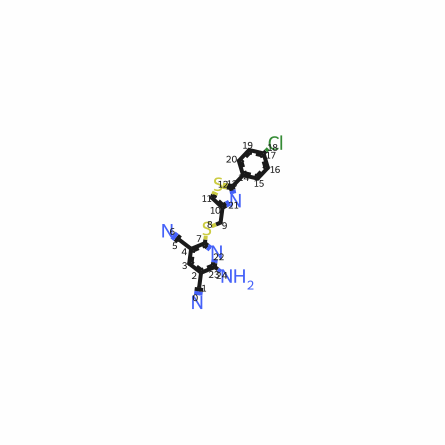 N#Cc1cc(C#N)c(SCc2csc(-c3ccc(Cl)cc3)n2)nc1N